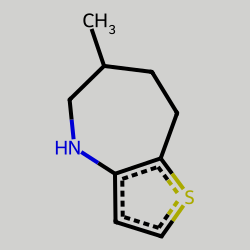 CC1CCc2sccc2NC1